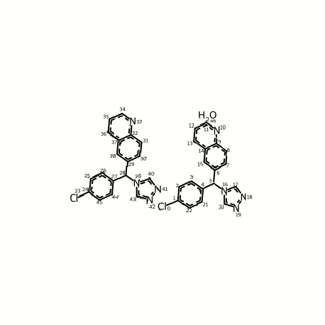 Clc1ccc(C(c2ccc3ncccc3c2)n2cnnc2)cc1.Clc1ccc(C(c2ccc3ncccc3c2)n2cnnc2)cc1.O